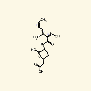 C\C=C/C=C(C)/C(=N/O)C(=O)NC1CCC(CC(=O)O)OB1O